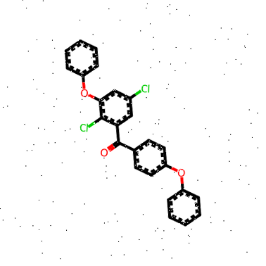 O=C(c1ccc(Oc2ccccc2)cc1)c1cc(Cl)cc(Oc2ccccc2)c1Cl